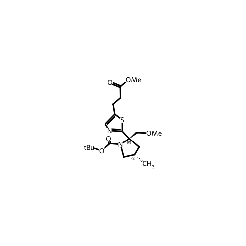 COC[C@@]1(c2ncc(CCC(=O)OC)s2)C[C@H](C)CN1C(=O)OC(C)(C)C